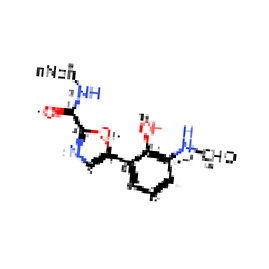 CCCCCCCCCNC(=O)c1ncc(-c2cccc(NC=O)c2O)o1